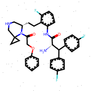 N[C@H](C(=O)Nc1cccc(F)c1CC[C@H]1CNCC2(CC2)N1C(=O)COc1ccccc1)C(c1ccc(F)cc1)c1ccc(F)cc1